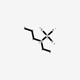 CCCN(CC)S(F)(F)F